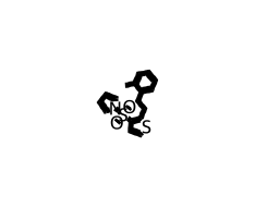 Cc1ccccc1CCc1sccc1S(=O)(=O)n1cccc1